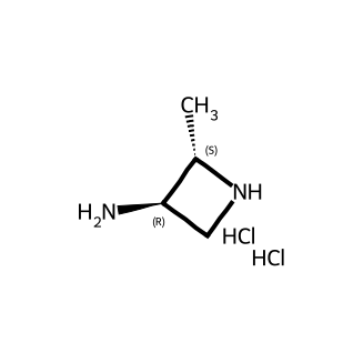 C[C@@H]1NC[C@H]1N.Cl.Cl